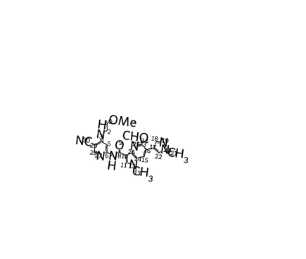 COCCNc1cc(NC(=O)c2cn(C)c3cc(-c4cnn(C)c4)c(C=O)nc23)ncc1C#N